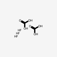 F.F.F.O=C(O)O.O=C(O)O